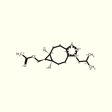 CC(=O)OC[C@@H]1[C@@H]2CCc3c(nnn3CC(C)C)CC[C@@H]21